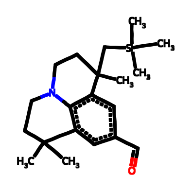 CC1(C)CCN2CCC(C)(C[Si](C)(C)C)c3cc(C=O)cc1c32